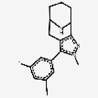 Cc1cc(F)cc(-c2c3c(nn2C)C2CCCC(C3)N2)c1